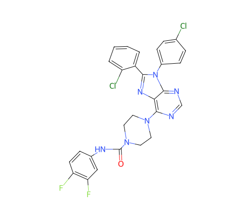 O=C(Nc1ccc(F)c(F)c1)N1CCN(c2ncnc3c2nc(-c2ccccc2Cl)n3-c2ccc(Cl)cc2)CC1